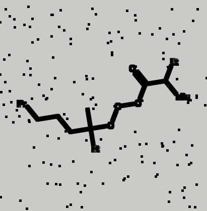 CCCCC(CC)C(=O)OOOC(C)(CC)CCCC(C)C